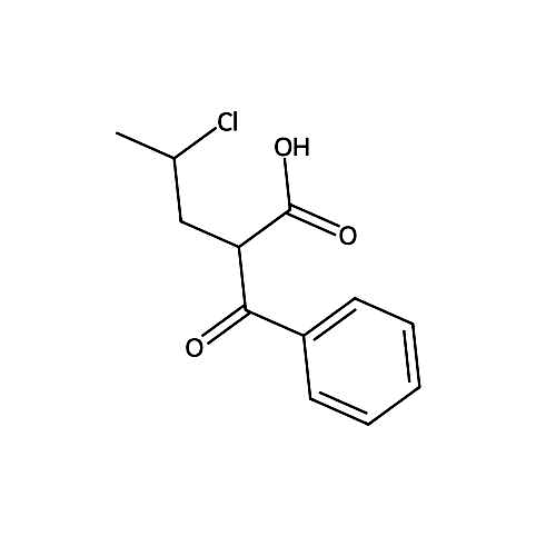 CC(Cl)CC(C(=O)O)C(=O)c1ccccc1